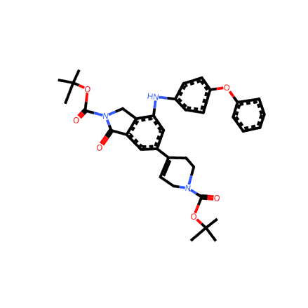 CC(C)(C)OC(=O)N1CC=C(c2cc(Nc3ccc(Oc4ccccc4)cc3)c3c(c2)C(=O)N(C(=O)OC(C)(C)C)C3)CC1